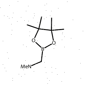 CNCB1OC(C)(C)C(C)(C)O1